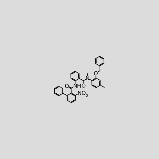 Cc1ccc(N(C)C(=O)c2ccccc2NC(=O)c2c(-c3ccccc3)cccc2[N+](=O)[O-])c(OCc2ccccc2)c1